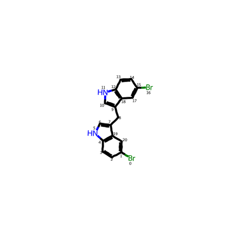 Brc1ccc2[nH]cc(Cc3c[nH]c4ccc(Br)cc34)c2c1